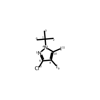 CC(C)(C)n1nc(Cl)c(I)c1I